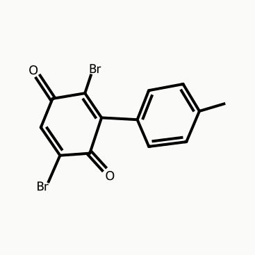 Cc1ccc(C2=C(Br)C(=O)C=C(Br)C2=O)cc1